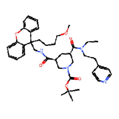 CCN(CCc1ccncc1)C(=O)[C@@H]1C[C@H](C(=O)NCC2(CCCCOC)c3ccccc3Oc3ccccc32)CN(C(=O)OC(C)(C)C)C1